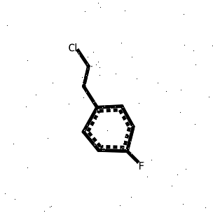 Fc1ccc(C[CH]Cl)cc1